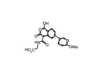 COc1ccc(-c2ccc3c(O)oc(=O)c(C(=O)NCC(=O)O)c3c2)cn1